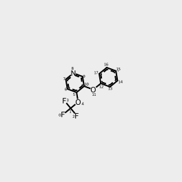 FC(F)(F)Oc1ccncc1Oc1cc[c]cc1